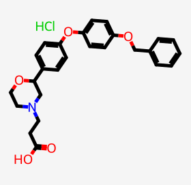 Cl.O=C(O)CCN1CCOC(c2ccc(Oc3ccc(OCc4ccccc4)cc3)cc2)C1